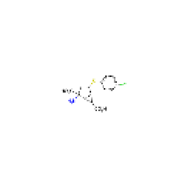 NC1(C(=O)O)CC(Sc2ccc(Cl)cc2)C2C(C(=O)O)C21